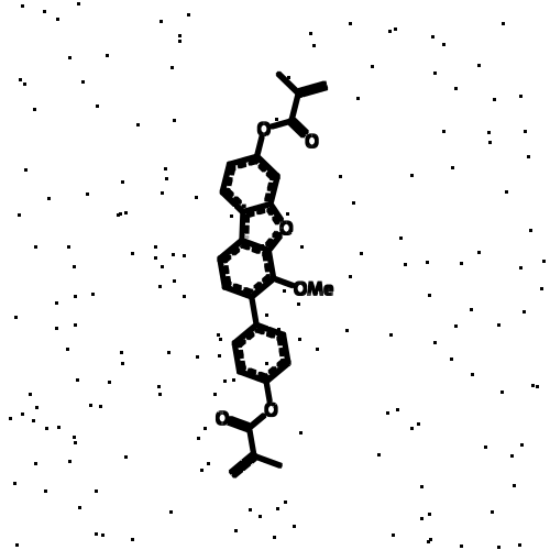 C=C(C)C(=O)Oc1ccc(-c2ccc3c(oc4cc(OC(=O)C(=C)C)ccc43)c2OC)cc1